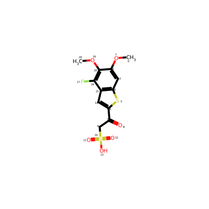 COc1cc2sc(C(=O)CS(=O)(=O)O)cc2c(F)c1OC